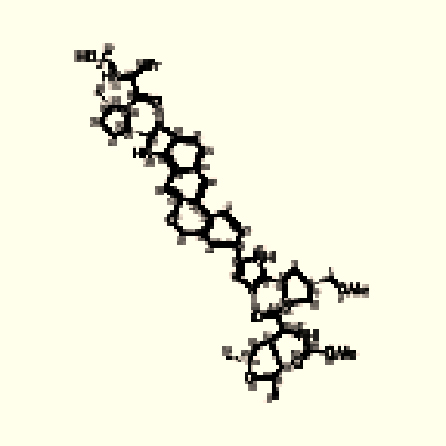 COC[C@H]1C[C@@H](c2ncc(-c3ccc4c(c3)COc3cc5c(ccc6nc([C@@H]7CC[C@H](C)N7C(=O)C(NC(=O)O)C(C)C)[nH]c65)cc3-4)[nH]2)N(C(=O)C(NC(=O)OC)C2C[C@@H](C)O[C@H](C)C2)C1